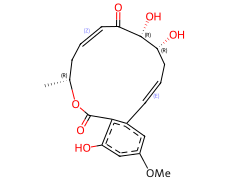 COc1cc(O)c2c(c1)/C=C/C[C@@H](O)[C@@H](O)C(=O)/C=C\C[C@@H](C)OC2=O